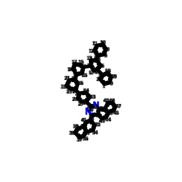 c1ccc(-c2cc(-c3ccccc3)cc(-c3cccc(-c4cccc(-c5ccc(-c6nc(-c7ccc8ccccc8c7)c7ccc8ccccc8c7n6)cc5)c4)c3)c2)cc1